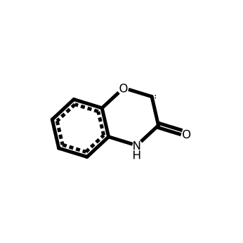 O=C1[C]Oc2ccccc2N1